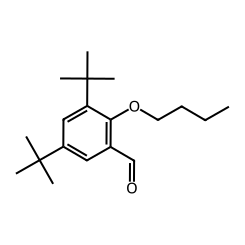 CCCCOc1c(C=O)cc(C(C)(C)C)cc1C(C)(C)C